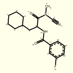 CN(C#N)C(=O)C(CC1CCCCC1)NC(=O)c1cccc(F)c1